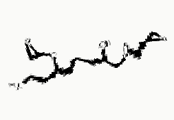 CCCC(CCCC(O)COCC1CO1)OC1CO1